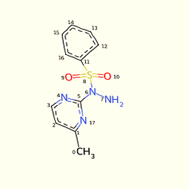 Cc1ccnc(N(N)S(=O)(=O)c2ccccc2)n1